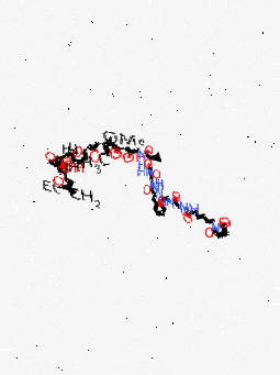 C=C1C[C@H](CC[C@@]2(O)CC3OC4C3[C@@H]3O[C@H]5CC[C@H](CC(=O)C[C@@H]6[C@@H](OC)[C@@H](C[C@H](O)CNC(=O)C(OCNC(=O)CNC(=O)[C@H](Cc7ccccc7)NC(=O)CNC(=O)CNC(=O)CCCCCN7C(=O)C=CC7=O)C7CC7)O[C@H]6C)O[C@@H]5[C@H](O2)C43)O[C@H]1CC